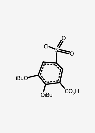 CC(C)COc1cc(S(=O)(=O)Cl)cc(C(=O)O)c1OCC(C)C